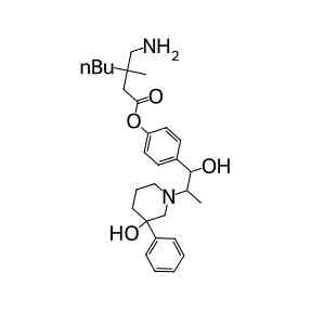 CCCCC(C)(CN)CC(=O)Oc1ccc(C(O)C(C)N2CCCC(O)(c3ccccc3)C2)cc1